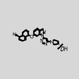 CC(C)(O)[C@H]1CCN(c2cc(-n3ncc4ccc(OC5CCCc6c(C#N)cccc65)cc43)ncn2)C1